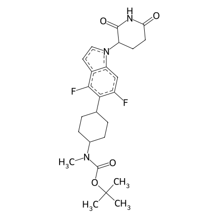 CN(C(=O)OC(C)(C)C)C1CCC(c2c(F)cc3c(ccn3C3CCC(=O)NC3=O)c2F)CC1